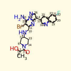 C[C@H](O)C(=O)N1CCC(NCc2nc3c(-c4cnc5ccc(F)cc5c4)cnn3c(N)c2Br)CC1